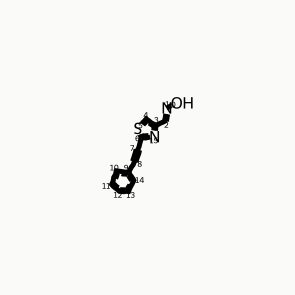 O/N=C/c1csc(C#Cc2ccccc2)n1